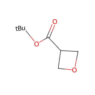 CC(C)(C)OC(=O)C1COC1